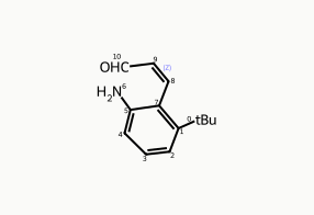 CC(C)(C)c1cccc(N)c1/C=C\C=O